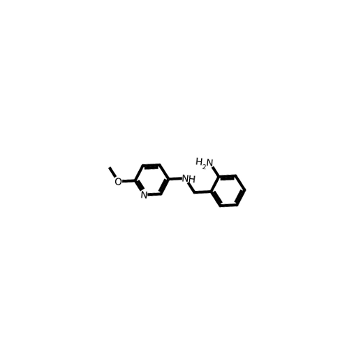 COc1ccc(NCc2ccccc2N)cn1